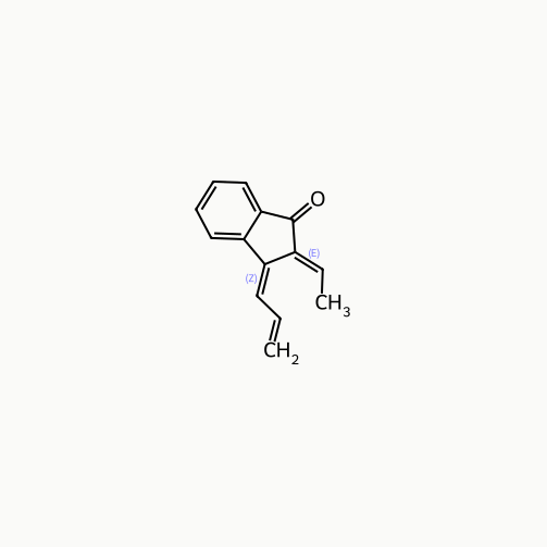 C=C/C=C1\C(=C/C)C(=O)c2ccccc21